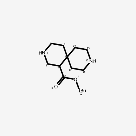 CC(C)(C)OC(=O)C1CNCCC12CCNCC2